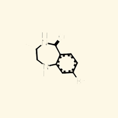 C[C@H]1CNc2cc(Br)ccc2C(=O)N1